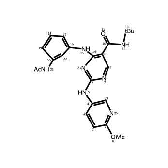 COc1ccc(Nc2ncc(C(=O)NC(C)(C)C)c(Nc3cccc(NC(C)=O)c3)n2)cn1